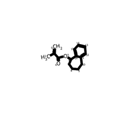 C=C(C)C(=O)OC1CCCCc2ccccc21